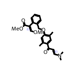 CO/C=C(/C(=O)OC)c1ccccc1COc1cc(C)c(C(=O)/C=C/N(C)C)cc1C